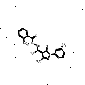 CC1=NN(c2cccc(C(F)(F)F)c2)C(=O)/C1=C(/C)NNC(=O)c1ccccc1[N+](=O)[O-]